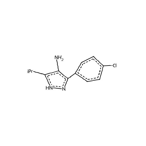 CC(C)c1[nH]nc(-c2ccc(Cl)cc2)c1N